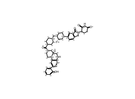 O=C1CCC(N2Cc3ccc(N4CC[C@H](CN5CCC(C(=O)N6CCN7c8cc(-c9ccccc9O)nnc8NC[C@H]7C6)CC5)[C@@H](F)C4)cc3C2=O)C(=O)N1